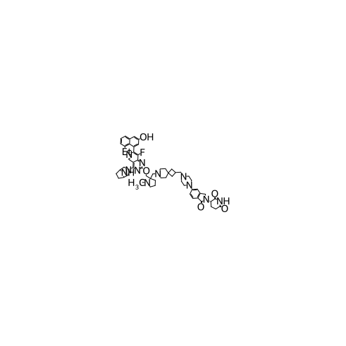 CCc1cccc2cc(O)cc(-c3ncc4c(N5CC6CCC(C5)N6)nc(OCC5(CN6CCC7(CC6)CC(CN6CCN(c8ccc9c(c8)CN([C@H]8CCC(=O)NC8=O)C9=O)CC6)C7)CCCN5C)nc4c3F)c12